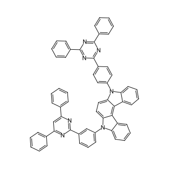 c1ccc(-c2cc(-c3ccccc3)nc(-c3cccc(-n4c5ccccc5c5c6c7ccccc7n(-c7ccc(-c8nc(-c9ccccc9)nc(-c9ccccc9)n8)cc7)c6ccc54)c3)n2)cc1